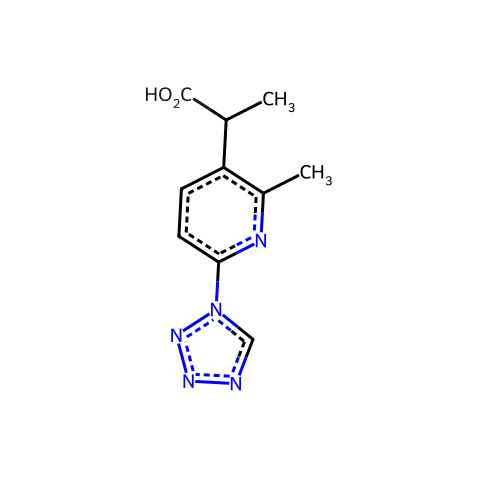 Cc1nc(-n2cnnn2)ccc1C(C)C(=O)O